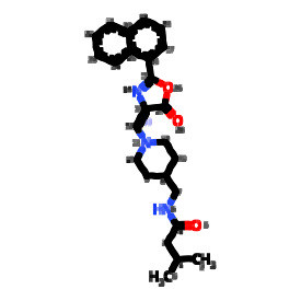 CC(C)CC(=O)NCC1CCN(/C=C2/N=C(c3cccc4ccccc34)OC2=O)CC1